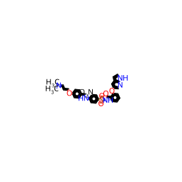 CN(C)CCCOc1ccc(CNc2ccc(S(=O)(=O)NC(=O)c3ccccc3Oc3cnc4[nH]ccc4c3)cc2[N+](=O)[O-])cc1